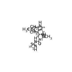 CN1C[C@H](C(=O)NC2NCCS2)CC2c3cc(C(C)(C)C)cc4[nH]cc(c34)C[C@H]21